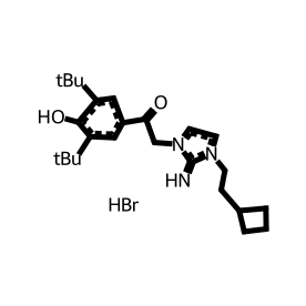 Br.CC(C)(C)c1cc(C(=O)Cn2ccn(CCC3CCC3)c2=N)cc(C(C)(C)C)c1O